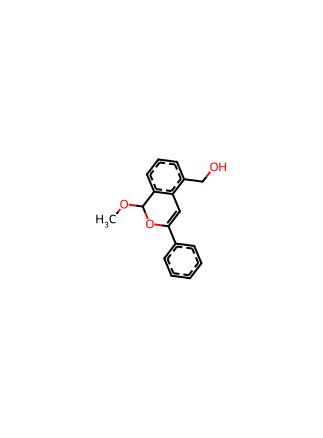 COC1OC(c2ccccc2)=Cc2c(CO)cccc21